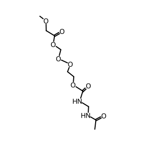 COCC(=O)OCOOCCOC(=O)NCNC(C)=O